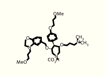 COCCCOc1ccc([C@@H]2[C@@H](OCc3ccc4c(c3)N(CCCOC)CCO4)CN(C(=O)O)C[C@H]2OCCCN(C)C)cc1